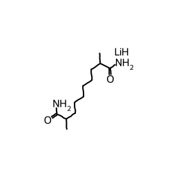 CC(CCCCCCC(C)C(N)=O)C(N)=O.[LiH]